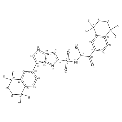 CC1(C)CCC(C)(C)c2cc(C(=O)C(Br)NS(=O)(=O)c3nn4c(-c5ccc6c(c5)C(C)(C)CCC6(C)C)cnc4s3)ccc21